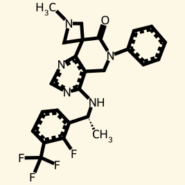 C[C@@H](Nc1ncnc2c1CN(c1ccccc1)C(=O)C21CN(C)C1)c1cccc(C(F)(F)F)c1F